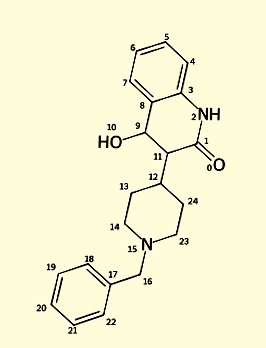 O=C1Nc2ccccc2C(O)C1C1CCN(Cc2ccccc2)CC1